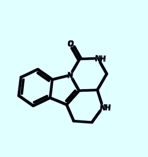 O=C1NCC2NCCc3c2n1c1ccccc31